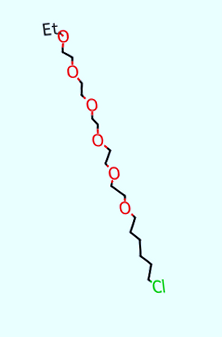 CCOCCOCCOCCOCCOCCOCCCCCCCl